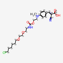 CN(CCOC(=O)NCCOCCOCCCCCCCl)c1ccc(/C=C(\C#N)C(=O)O)cc1